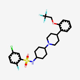 O=S(=O)(NC1CCC(N2CCC(c3ccccc3OCC(F)(F)F)CC2)CC1)c1cc(Cl)ccc1F